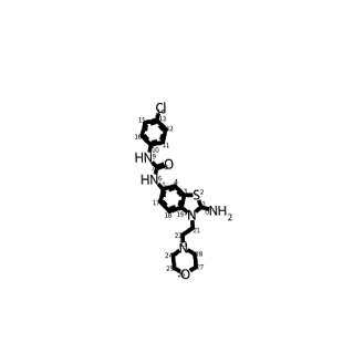 NC1Sc2cc(NC(=O)Nc3ccc(Cl)cc3)ccc2N1CCN1CCOCC1